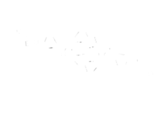 CCC1(COc2ccc(C(C)C(=O)Oc3ccc4ccccc4c3-c3c(OC(=O)C(C)c4ccc(OCC5(CC)COC5)cc4)ccc4ccccc34)cc2)COC1